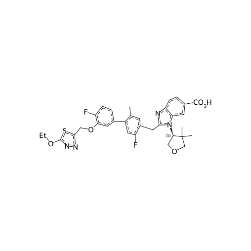 CCOc1nnc(COc2cc(-c3cc(F)c(Cc4nc5ccc(C(=O)O)cc5n4[C@@H]4COCC4(C)C)cc3C)ccc2F)s1